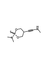 CNC#CC1COP(=S)(N(C)C)OC1